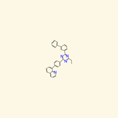 CCc1nc(-c2ccc(-c3cccc4cccnc34)cc2)nc(-c2cccc(-c3ccccc3)c2)n1